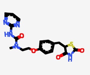 CN(CCOc1ccc(CC2SC(=O)NC2=O)cc1)C(=O)Nc1ncccn1